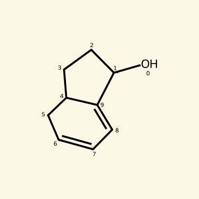 O[C]1CCC2CC=CC=C12